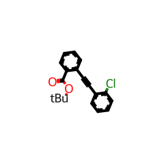 CC(C)(C)OC(=O)c1ccccc1C#Cc1ccccc1Cl